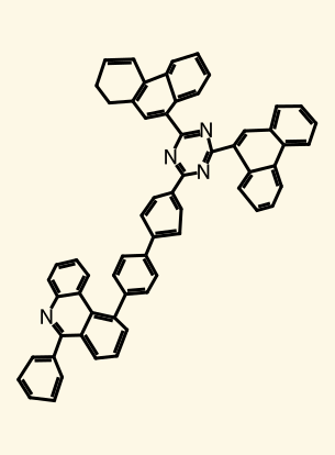 C1=Cc2c(cc(-c3nc(-c4ccc(-c5ccc(-c6cccc7c(-c8ccccc8)nc8ccccc8c67)cc5)cc4)nc(-c4cc5ccccc5c5ccccc45)n3)c3ccccc23)CC1